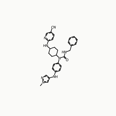 Cn1cc(Nc2ccc(N(C(=O)NCc3ccccc3)C3CCC(Nc4ccc(C#N)cn4)CC3)cc2)cn1